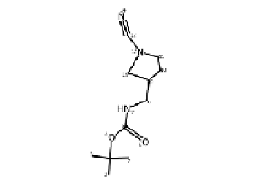 CC(C)(C)OC(=O)NCC1CCN(C#N)C1